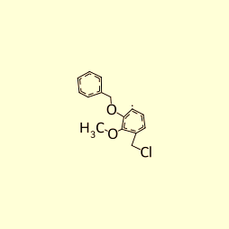 COc1c(OCc2ccccc2)[c]ccc1CCl